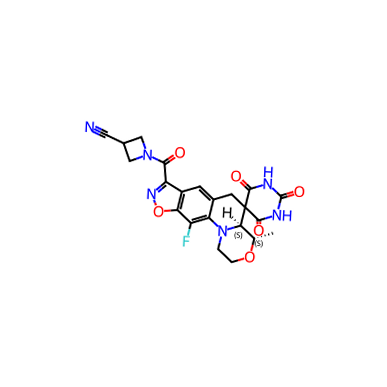 C[C@@H]1OCCN2c3c(cc4c(C(=O)N5CC(C#N)C5)noc4c3F)CC3(C(=O)NC(=O)NC3=O)[C@@H]12